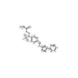 CS(=O)(=O)C(CCC(N)=O)c1ccc(OCc2nc(-c3cccnc3)no2)cc1